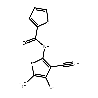 C#Cc1c(NC(=O)c2cccs2)sc(C)c1CC